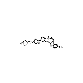 N#Cc1ccc2nc3n(Cc4cccc(C5=NC=C(OCC6CCNCC6)CN5)c4)c(=O)c(F)cn3c2c1